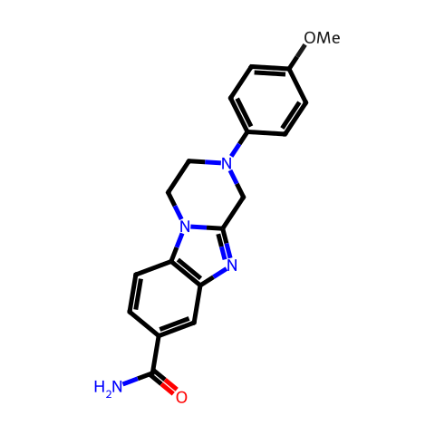 COc1ccc(N2CCn3c(nc4cc(C(N)=O)ccc43)C2)cc1